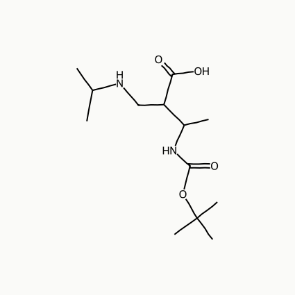 CC(C)NCC(C(=O)O)C(C)NC(=O)OC(C)(C)C